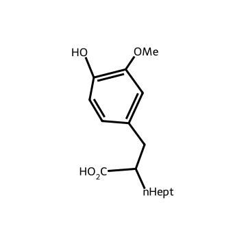 CCCCCCCC(Cc1ccc(O)c(OC)c1)C(=O)O